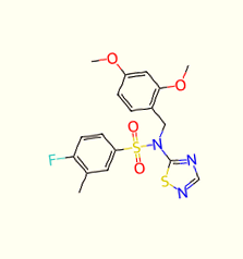 COc1ccc(CN(c2ncns2)S(=O)(=O)c2ccc(F)c(C)c2)c(OC)c1